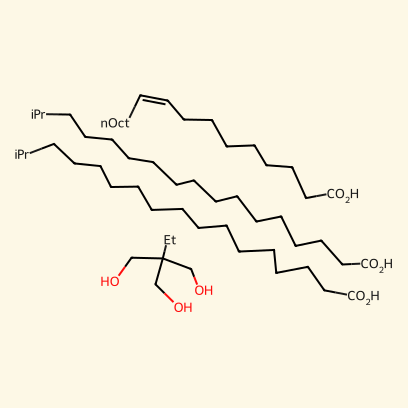 CC(C)CCCCCCCCCCCCCCC(=O)O.CC(C)CCCCCCCCCCCCCCC(=O)O.CCC(CO)(CO)CO.CCCCCCCC/C=C\CCCCCCCC(=O)O